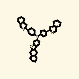 c1ccc2cc(-c3ccc(N(c4ccc(-c5cc6ccccc6cn5)cc4)c4ccc5c(c4)oc4cc6ccccc6cc45)cc3)ncc2c1